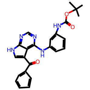 CC(C)(C)OC(=O)Nc1cccc(Nc2ncnc3[nH]cc(C(=O)c4ccccc4)c23)c1